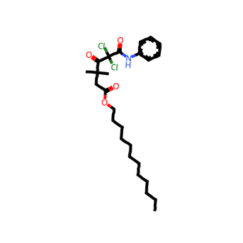 CCCCCCCCCCCCOC(=O)CC(C)(C)C(=O)C(Cl)(Cl)C(=O)Nc1ccccc1